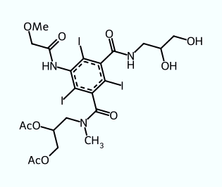 COCC(=O)Nc1c(I)c(C(=O)NCC(O)CO)c(I)c(C(=O)N(C)CC(COC(C)=O)OC(C)=O)c1I